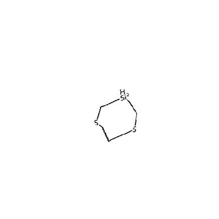 C1[SiH2]CSCS1